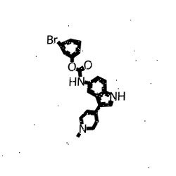 CN1CC=C(c2c[nH]c3ccc(NC(=O)Oc4cccc(Br)c4)cc23)CC1